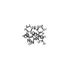 COc1cccc(F)c1Oc1c(Cl)ncnc1N(CC(C)C)S(=O)(=O)c1ccccc1